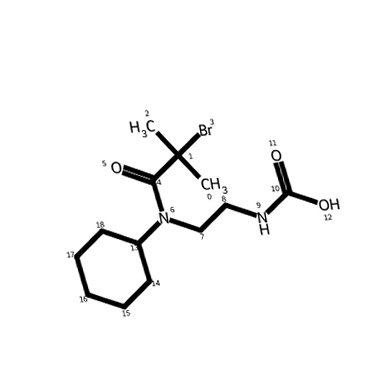 CC(C)(Br)C(=O)N(CCNC(=O)O)C1CCCCC1